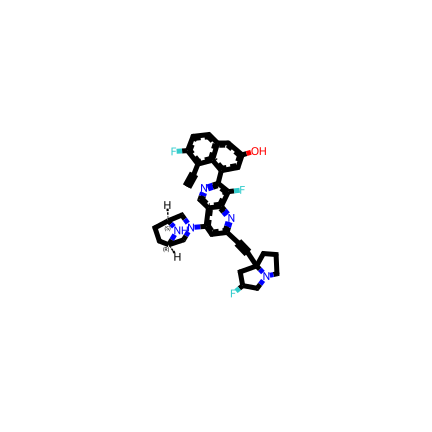 C#Cc1c(F)ccc2cc(O)cc(-c3ncc4c(N5C[C@H]6CC[C@@H](C5)N6)cc(C#CC56CCCN5CC(F)C6)nc4c3F)c12